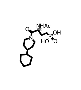 CC(=O)N[C@@H](CCP(=O)(O)O)C(=O)N1CCC(C2CCCCC2)CC1